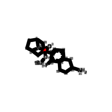 CC(C)(C)OC(=O)N1C2CCC1CN(c1ccc3c(c1F)CCC(N)C3)C2